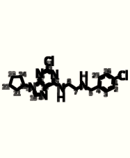 Clc1ccc(CNCCNc2nc(Cl)nc3c2ncn3C2CCCC2)cc1